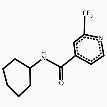 O=C(NC1CCCCC1)c1ccnc(C(F)(F)F)c1